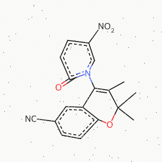 CC1=C(n2cc([N+](=O)[O-])ccc2=O)c2cc(C#N)ccc2OC1(C)C